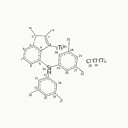 CC1=[C]([Ti+3])c2c(cccc2[SiH](c2cc(C)cc(C)c2)c2cc(C)cc(C)c2)C1C.[Cl-].[Cl-].[Cl-]